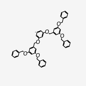 [c]1cc(OCc2cc(OCc3ccccc3)cc(OCc3ccccc3)c2)cc(OCc2cc(OCc3ccccc3)cc(OCc3ccccc3)c2)c1